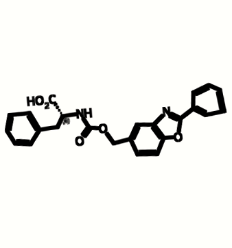 O=C(N[C@H](Cc1ccccc1)C(=O)O)OCc1ccc2oc(-c3ccccc3)nc2c1